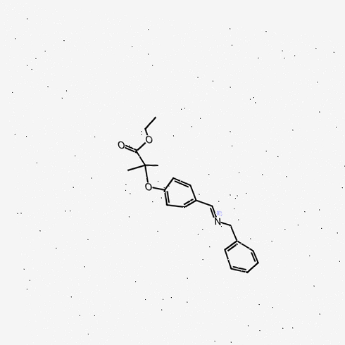 CCOC(=O)C(C)(C)Oc1ccc(/C=N/Cc2ccccc2)cc1